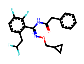 O=C(Cc1ccccc1)N/C(=N\OCC1CC1)c1c(CC(F)F)ccc(F)c1F